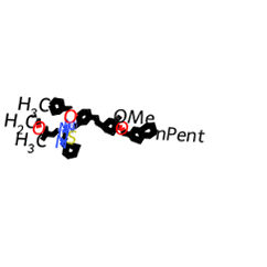 C=COCC(C)CCN(/N=C/c1cc(CCc2ccc(OCc3ccc4cc(CCCCC)ccc4c3)c(OC)c2)ccc1OCc1ccc(C)cc1)c1nc2ccccc2s1